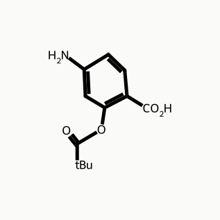 CC(C)(C)C(=O)Oc1cc(N)ccc1C(=O)O